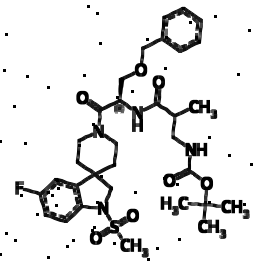 CC(CNC(=O)OC(C)(C)C)C(=O)N[C@H](COCc1ccccc1)C(=O)N1CCC2(CC1)CN(S(C)(=O)=O)c1ccc(F)cc12